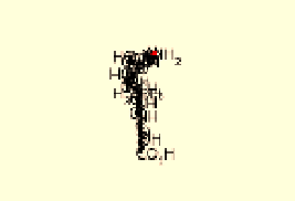 CC(C)(COP(=O)(O)OP(=O)(O)OC[C@H]1O[C@@H](n2cnc3c(N)ncnc32)[C@H](O)[C@@H]1OP(=O)(O)O)[C@@H](O)C(=O)NCCC(=O)NCCSC(=O)CC(O)CCCC(=O)O